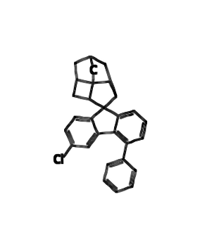 Clc1ccc2c(c1)-c1c(-c3ccccc3)cccc1C21C2CC3CC4CC1C4(C3)C2